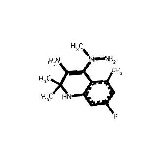 Cc1cc(F)cc2c1C(N(C)N)=C(N)C(C)(C)N2